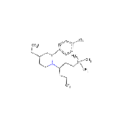 CC(C)(C)c1ccc(C2CC(CC(=O)O)CCN2C(CCC(F)(F)F)CC[Si](C)(C)C)cc1